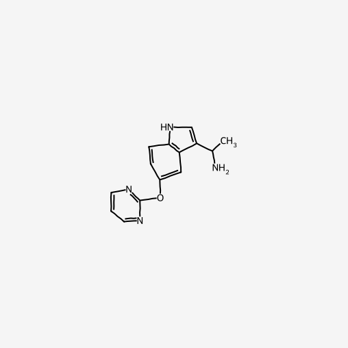 CC(N)c1c[nH]c2ccc(Oc3ncccn3)cc12